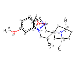 COCCC1C[C@H]2CC[C@@H](C1)N2CC(C)Cn1ncc2ccc(OC)cc21